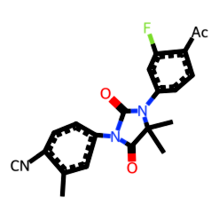 [C-]#[N+]c1ccc(N2C(=O)N(c3ccc(C(C)=O)c(F)c3)C(C)(C)C2=O)cc1C